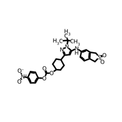 CC(C)(C)n1nc(C2CCC(OC(=O)Oc3ccc([N+](=O)[O-])cc3)CC2)cc1Nc1ccc2c(c1)CS(=O)(=O)C2